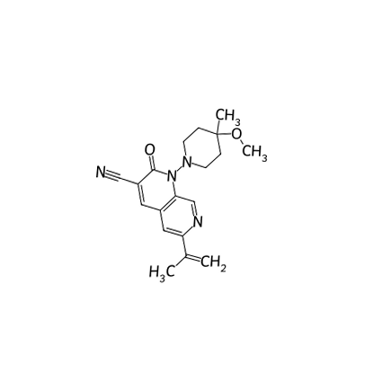 C=C(C)c1cc2cc(C#N)c(=O)n(N3CCC(C)(OC)CC3)c2cn1